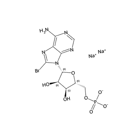 Nc1ncnc2c1nc(Br)n2[C@@H]1O[C@H](COP(=O)([O-])[O-])[C@@H](O)[C@H]1O.[Na+].[Na+]